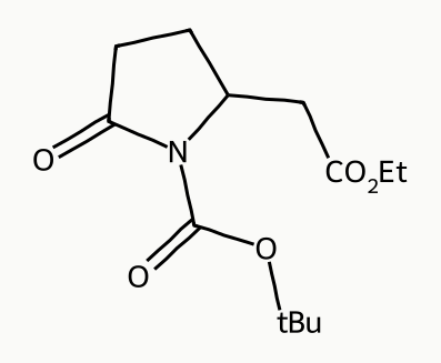 CCOC(=O)CC1CCC(=O)N1C(=O)OC(C)(C)C